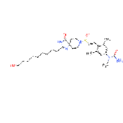 Cc1cc(N(C)C(N)=O)cc(C)c1/C=C/[S+]([O-])N1CCC2(CC1)N=C(CCCCCCCCCO)NC2=O